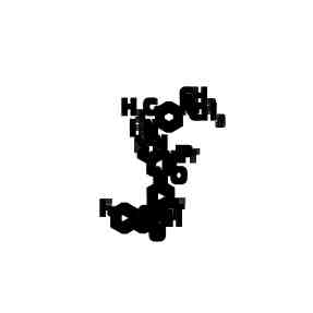 CC1C[C@@H](N(C)C)CC[C@@H]1Nc1ncc2c(n1)N(C(C)C)C(=O)N(c1ccc(NS(=O)(=O)Cc3ccc(F)cc3)c(F)c1)C2